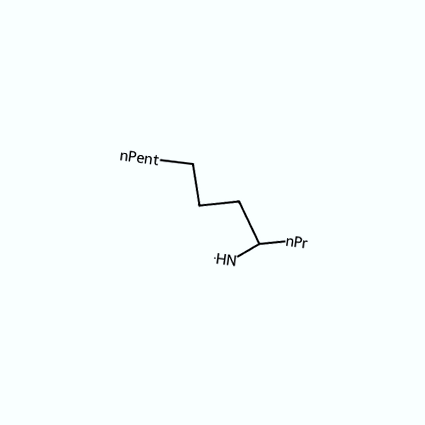 CCCCCCCCC([NH])CCC